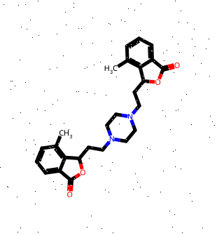 Cc1cccc2c1C(CCN1CCN(CCC3OC(=O)c4cccc(C)c43)CC1)OC2=O